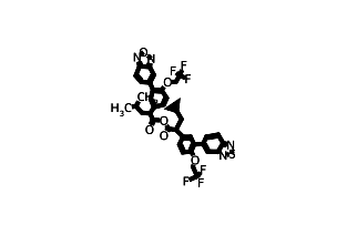 CC(C)CC(C(=O)OC(=O)C(CC1CC1)c1ccc(OCC(F)(F)F)c(-c2ccc3nsnc3c2)c1)c1ccc(OCC(F)(F)F)c(-c2ccc3nonc3c2)c1